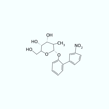 CC1[C@H](Oc2ccccc2-c2cccc([N+](=O)[O-])c2)OC(CO)[C@H](O)[C@@H]1O